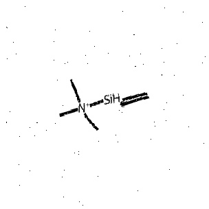 C=C[SiH2][N+](C)(C)C